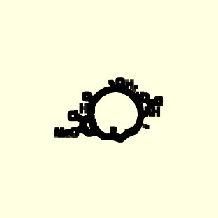 COc1cc2cc(c1Cl)NC(=O)CC[C@]1(C)O[C@H]1[C@H](C)[C@@H]1CC(NC(=O)O1)[C@H](C)/C=C/C=C(\C)C2